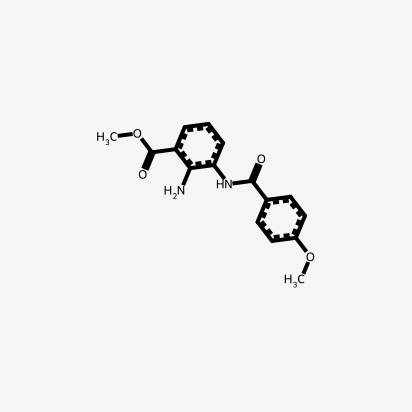 COC(=O)c1cccc(NC(=O)c2ccc(OC)cc2)c1N